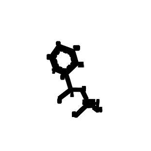 CC(C[SiH](C)C)c1ccccc1